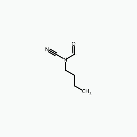 CCCCN([C]=O)C#N